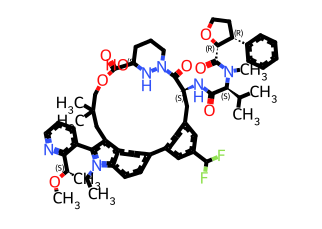 CCn1c(-c2cccnc2[C@H](C)OC)c2c3cc(ccc31)-c1cc(cc(C(F)F)c1)C[C@H](NC(=O)[C@H](C(C)C)N(C)C(=O)[C@@H]1OCC[C@@H]1c1ccccc1)C(=O)N1CCC[C@@](O)(N1)C(=O)OCC(C)(C)C2